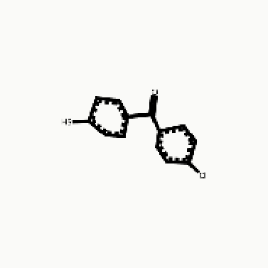 O=C(c1ccc(S)cc1)c1ccc(Cl)cc1